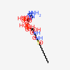 CCCCCCCCCCCCCCCC(=O)SCCNC(=O)CCNC(=O)C(O)C(C)(C)COP(=O)(O)OP(=O)(O)OC[C@H]1O[C@@H](n2cnc3c(N)ncnc32)[C@H](O)[C@@H]1OP(=O)(O)O